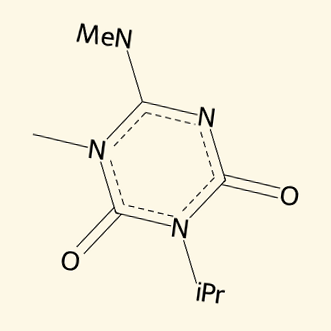 CNc1nc(=O)n(C(C)C)c(=O)n1C